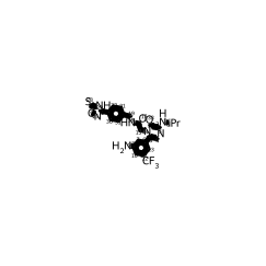 CC(C)Nc1ncc(-c2cc(N)cc(C(F)(F)F)c2)n(CC(=O)NCc2ccc(-c3noc(=S)[nH]3)cc2)c1=O